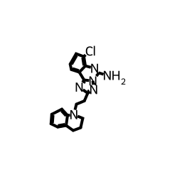 Nc1nc2c(Cl)cccc2c2nc(CCN3CCCc4ccccc43)nn12